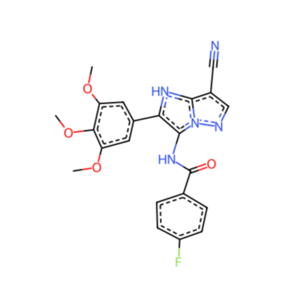 COc1cc(-c2[nH]c3c(C#N)cnn3c2NC(=O)c2ccc(F)cc2)cc(OC)c1OC